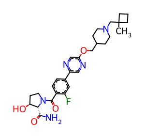 CC1(CN2CCC(COc3cnc(-c4ccc(C(=O)N5CC[C@H](O)[C@H]5C(N)=O)c(F)c4)cn3)CC2)CCC1